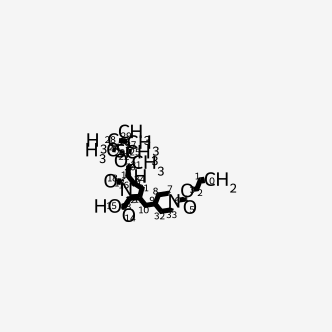 C=CCOC(=O)N1CCC(CC2=C(C(=O)O)N3C(=O)[C@H]([C@@H](C)O[Si](C)(C)C(C)(C)C)[C@H]3C2)CC1